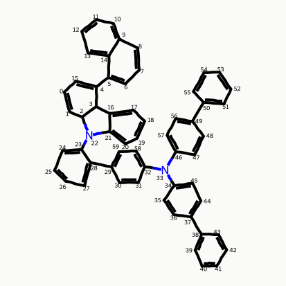 C1=CC2C(C(c3cccc4ccccc34)=C1)c1ccccc1N2c1ccccc1-c1ccc(N(c2ccc(-c3ccccc3)cc2)c2ccc(-c3ccccc3)cc2)cc1